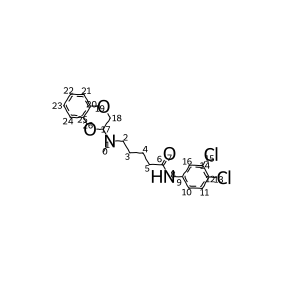 CN(CCCCC(=O)Nc1ccc(Cl)c(Cl)c1)C1COc2ccccc2O1